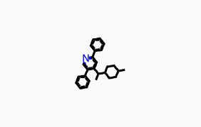 CC1CCC(C(C)c2cc(-c3ccccc3)ncc2-c2ccccc2)CC1